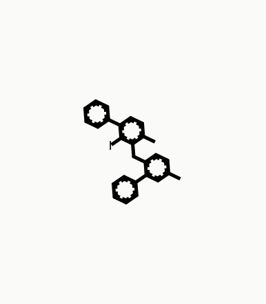 Cc1ccc(Cc2c(C)ccc(-c3ccccc3)c2I)c(-c2ccccc2)c1